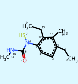 CCc1ccc(N(S)C(=O)NC)c(CC)c1C